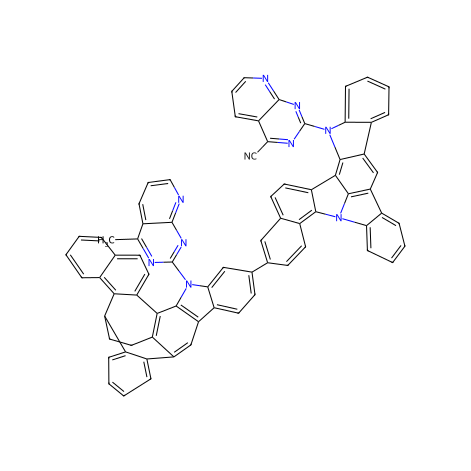 Cc1nc(-n2c3cc(-c4ccc5c(ccc6c7c8c(cc9c%10ccccc%10n(c56)c97)c5ccccc5n8-c5nc(C#N)c6cccnc6n5)c4)ccc3c3cc4c5c(c32)-c2ccc3ccccc3c2C(CC5)c2ccccc2-4)nc2ncccc12